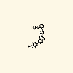 Cc1cc(-c2ccc3ncc(N4CCN(c5ccccc5CN)CC4)nc3c2)cc(C)c1O